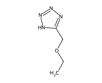 [CH2]COCc1nnn[nH]1